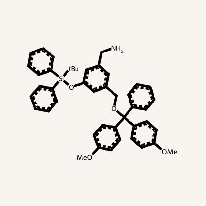 COc1ccc(C(OCc2cc(CN)cc(O[Si](c3ccccc3)(c3ccccc3)C(C)(C)C)c2)(c2ccccc2)c2ccc(OC)cc2)cc1